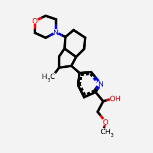 COCC(O)c1ccc(C2C(C)CC3C2CCCC3N2CCOCC2)cn1